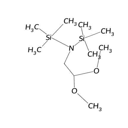 COC(CN([Si](C)(C)C)[Si](C)(C)C)OC